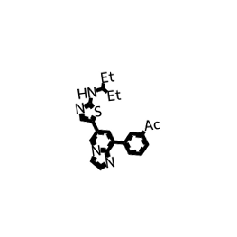 CCC(CC)Nc1ncc(-c2cc(-c3cccc(C(C)=O)c3)c3nccn3c2)s1